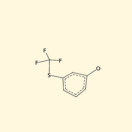 [O]c1cccc(SC(F)(F)F)c1